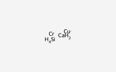 [CaH2].[Cr].[Cu].[SiH4]